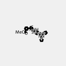 COC(=O)c1cccc(-c2csc(NC(=S)N3CCN(c4nc(N5CCCC5)nc(N5CCCC5)n4)CC3)n2)c1